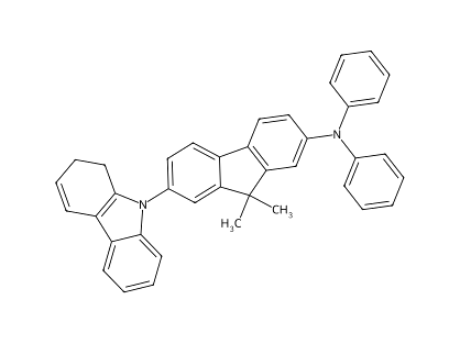 CC1(C)c2cc(N(c3ccccc3)c3ccccc3)ccc2-c2ccc(-n3c4c(c5ccccc53)C=CCC4)cc21